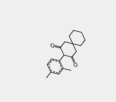 Cc1ccc(C2C(=O)CC3(CCCCC3)CC2=O)c(C)c1